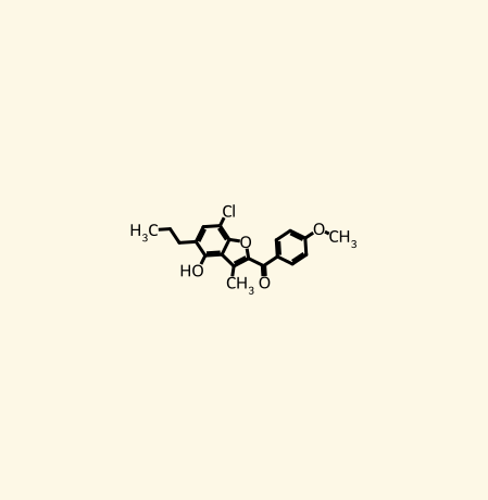 CCCc1cc(Cl)c2oc(C(=O)c3ccc(OC)cc3)c(C)c2c1O